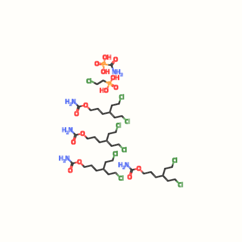 NC(=O)OCCCC(CCCl)CCCl.NC(=O)OCCCC(CCCl)CCCl.NC(=O)OCCCC(CCCl)CCCl.NC(=O)OCCCC(CCCl)CCCl.NC(=O)P(=O)(O)O.O=P(O)(O)CCCl